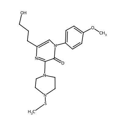 COc1ccc(-n2cc(CCCO)nc(N3CCN(SC)CC3)c2=O)cc1